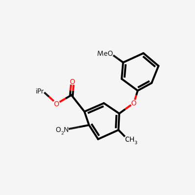 COc1cccc(Oc2cc(C(=O)OC(C)C)c([N+](=O)[O-])cc2C)c1